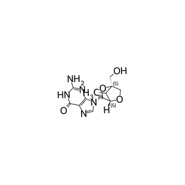 CC1[C@@H]2OC[C@]1(CO)O[C@H]2n1cnc2c(=O)[nH]c(N)nc21